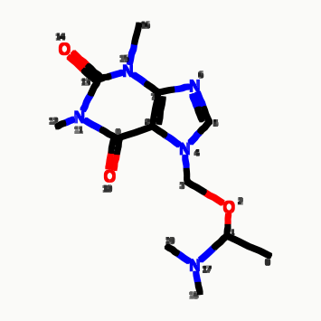 CC(OCn1cnc2c1c(=O)n(C)c(=O)n2C)N(C)C